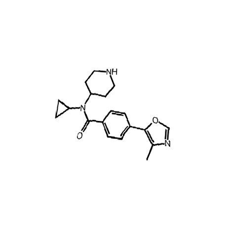 Cc1ncoc1-c1ccc(C(=O)N(C2CCNCC2)C2CC2)cc1